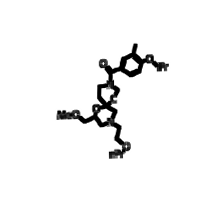 CCCOCCN1CC(COC)OC2(CCN(C(=O)c3ccc(OC(C)C)c(C)c3)CC2)C1